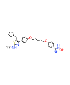 CCCNc1nc(-c2ccc(OCCCCCOc3ccc(C(=N)NO)cc3)cc2)c(CC2CCCC2)s1